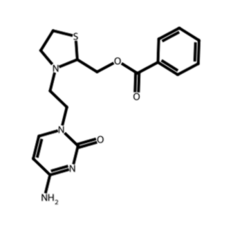 Nc1ccn(CCN2CCSC2COC(=O)c2ccccc2)c(=O)n1